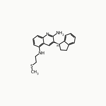 CSCCNc1cccc2nc(N)c([C@@H]3CCc4ccccc43)cc12